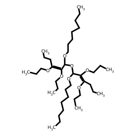 CCCCCCCCOC(OC(OCCCCCCCC)C(OCCC)=C(CCC)OCCC)C(OCCC)=C(CCC)OCCC